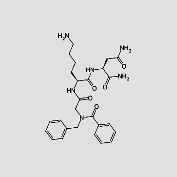 NCCCC[C@H](NC(=O)CN(Cc1ccccc1)C(=O)c1ccccc1)C(=O)N[C@@H](CC(N)=O)C(N)=O